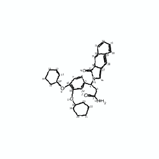 NC(=O)CC(c1ccc(OC2CCCCC2)c(OC2CCCCC2)c1)N1C=C2C=c3ccccc3=CC2C1=O